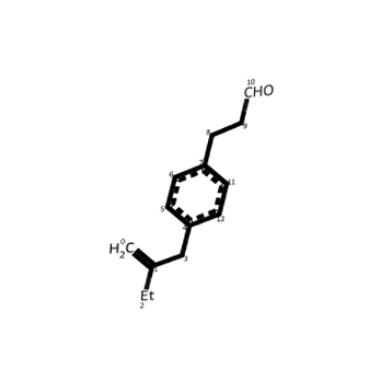 C=C(CC)Cc1ccc(CCC=O)cc1